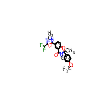 C/N=C(\OC(=N)C(F)F)c1ccc2c(c1)C(=O)N(C)C(C)(c1ccc(OC(F)(F)F)cc1)O2